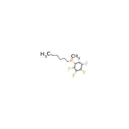 CCCCCCP(C)c1cc(F)c(F)c(F)c1F